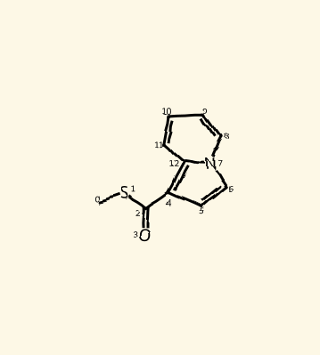 CSC(=O)c1ccn2ccccc12